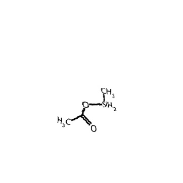 C[SiH2]OC(C)=O